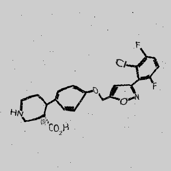 O=C(O)[C@@H]1CNCCC1c1ccc(OCc2cc(-c3c(F)ccc(F)c3Cl)no2)cc1